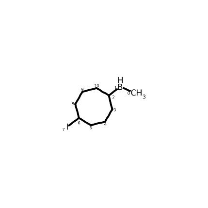 CBC1CCCC(I)CCC1